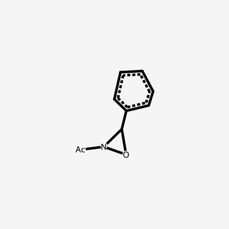 CC(=O)N1OC1c1ccccc1